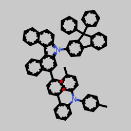 Cc1ccc(N(c2ccc(C)cc2)c2ccccc2-c2ccc(-c3cc4c(c5ccccc35)c3c5ccccc5ccc3n4-c3ccc4c(c3)C(c3ccccc3)(c3ccccc3)c3ccccc3-4)cc2)cc1